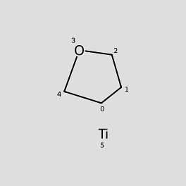 C1CCOC1.[Ti]